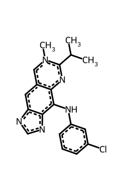 CC(C)c1nc2c(Nc3cccc(Cl)c3)c3ncnc3cc2cn1C